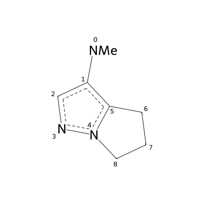 CNc1cnn2c1CCC2